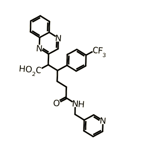 O=C(CCC(c1ccc(C(F)(F)F)cc1)C(C(=O)O)c1cnc2ccccc2n1)NCc1cccnc1